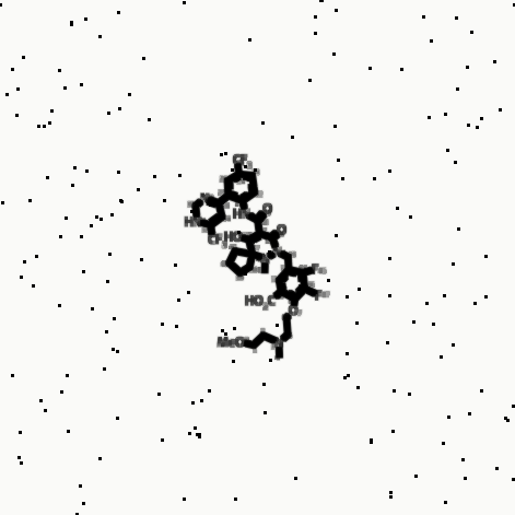 COCCN(C)CCOc1c(C(=O)O)cc(CN2C(=O)C(C(=O)Nc3ccc(C(F)(F)F)cc3C3=NCNC(C(F)(F)F)=C3)=C(O)C3(CCCC3)N2C)c(F)c1F